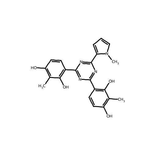 Cc1c(O)ccc(-c2nc(-c3ccc(O)c(C)c3O)nc(-c3cccn3C)n2)c1O